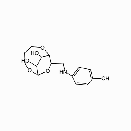 Oc1ccc(NCC2OC3OCCCOC2C(O)C3O)cc1